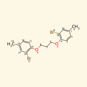 Cc1ccc(OCCCOc2ccc(C)cc2Br)c(Br)c1